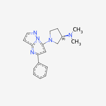 CN(C)[C@@H]1CCN(c2cc(-c3ccccc3)nc3ccnn23)C1